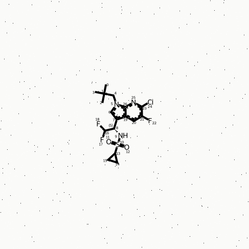 CC(C)(C)Cn1cc([C@H](NS(=O)(=O)C2CC2)C(F)F)c2cc(F)c(Cl)nc21